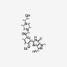 CCCc1nn(C)c2c(=S)[nH]c(-c3cc(C(=O)CN4CCN(CCO)CC4)ccc3OCC)nc12